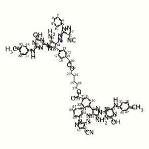 [C-]#[N+]c1cnn(-c2ccccc2)c1/N=N/c1c(-c2ccc(COOCCCCCOC(=O)c3ccc(-c4nn(-c5nc(O)nc(Nc6ccc(C)cc6)n5)c(N)c4/N=N/c4c(C#N)cnn4-c4ccccc4)cc3)cc2)nn(-c2nc(O)nc(Nc3ccc(C)cc3)n2)c1N